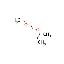 CCOCCOC(C)CC